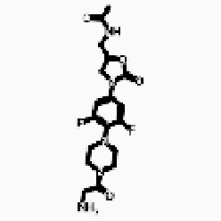 CC(=O)NCC1CN(c2cc(F)c(N3CCN(C(=O)CN)CC3)c(F)c2)C(=O)O1